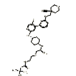 CC(COCCNC(=O)OC(C)(C)C)N[C@H]1CC[C@H](Nc2cc(-c3cccc(NCC4(C#N)CCOCC4)n3)c(Cl)cn2)CC1